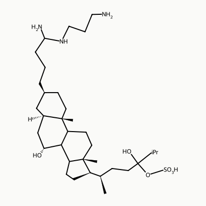 CC(C)C(O)(CC[C@@H](C)[C@H]1CCC2C3C(CC[C@@]21C)[C@@]1(C)CC[C@H](CCCC(N)NCCCN)C[C@@H]1C[C@H]3O)OS(=O)(=O)O